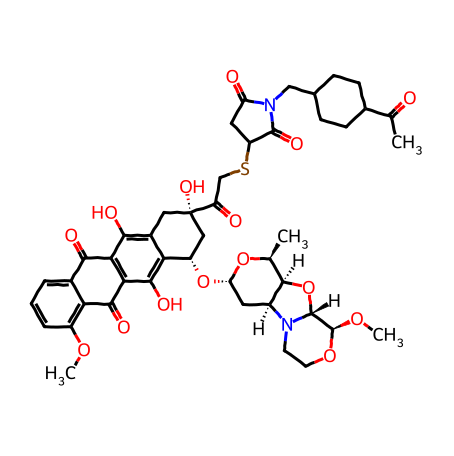 COc1cccc2c1C(=O)c1c(O)c3c(c(O)c1C2=O)C[C@@](O)(C(=O)CSC1CC(=O)N(CC2CCC(C(C)=O)CC2)C1=O)C[C@@H]3O[C@H]1C[C@H]2[C@H](O[C@@H]3[C@@H](OC)OCCN32)[C@H](C)O1